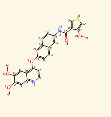 COc1cc2nccc(Oc3ccc4cc(NC(=O)c5cscc5OC)ccc4c3)c2cc1OC